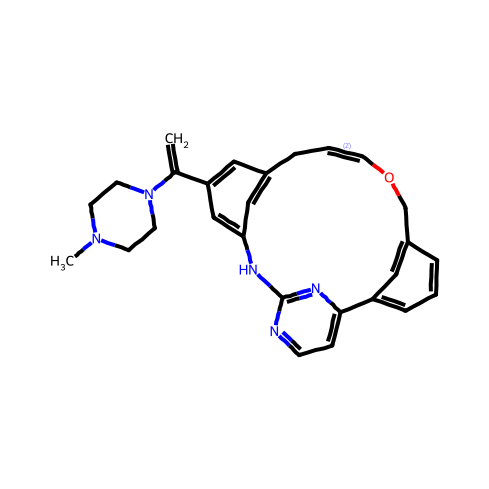 C=C(c1cc2cc(c1)Nc1nccc(n1)-c1cccc(c1)CO/C=C\C2)N1CCN(C)CC1